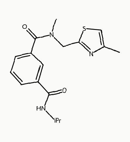 Cc1csc(CN(C)C(=O)c2cccc(C(=O)NC(C)C)c2)n1